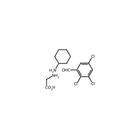 NC1CCCCC1.NCC(=O)O.O=Cc1cc(Cl)cc(Cl)c1Cl